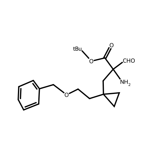 CC(C)(C)OC(=O)C(N)(C=O)CC1(CCOCc2ccccc2)CC1